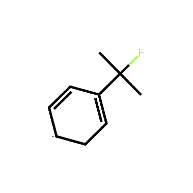 CC(C)(F)C1=CC[CH]C=C1